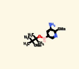 COc1ncc(BOC(C)(C)C(C)(C)OC)cc1N